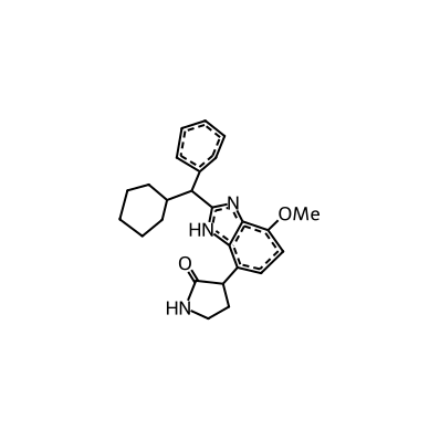 COc1ccc(C2CCNC2=O)c2[nH]c(C(c3ccccc3)C3CCCCC3)nc12